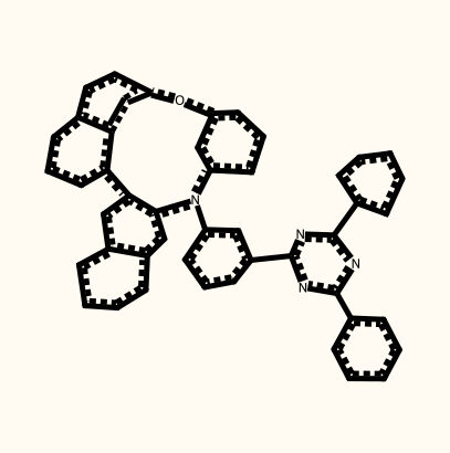 c1ccc(-c2nc(-c3ccccc3)nc(-c3cccc(-n4c5cccc(c5)oc5ccc6cccc(c6c5)c5cc6ccccc6cc54)c3)n2)cc1